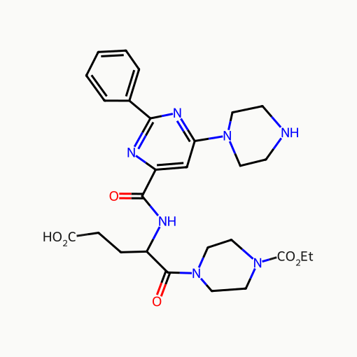 CCOC(=O)N1CCN(C(=O)C(CCC(=O)O)NC(=O)c2cc(N3CCNCC3)nc(-c3ccccc3)n2)CC1